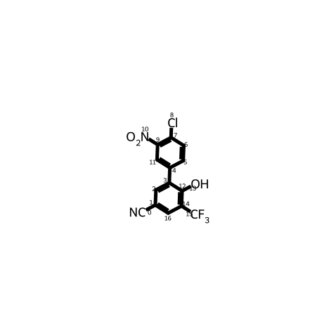 N#Cc1cc(-c2ccc(Cl)c([N+](=O)[O-])c2)c(O)c(C(F)(F)F)c1